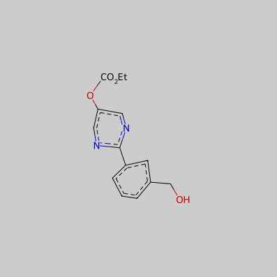 CCOC(=O)Oc1cnc(-c2cccc(CO)c2)nc1